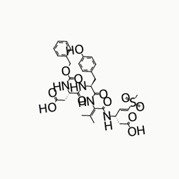 CC(C)=C(NC(=O)[C@H](Cc1ccc(O)cc1)NC(=O)[C@H](CC(=O)O)NC(=O)OCc1ccccc1)C(=O)N[C@H](/C=C/S(C)(=O)=O)CC(=O)O